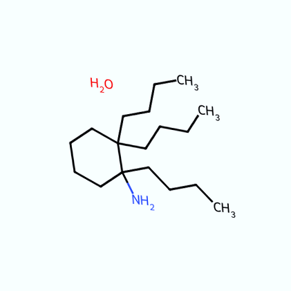 CCCCC1(N)CCCCC1(CCCC)CCCC.O